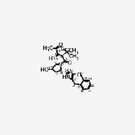 CC(=O)C(=N)[C@H](C(=O)N1C[C@H](O)C[C@H]1c1ncc(Cc2ccccc2Cl)[nH]1)C(C)(C)C